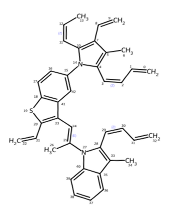 C=C/C=C\c1c(C)c(C=C)c(/C=C\C)n1-c1ccc2sc(C=C)c(/C=C(\C)n3c(/C=C\C=C)c(C)c4ccccc43)c2c1